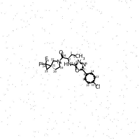 CC[C@@H](Nc1nnc(-c2ccc(Cl)cc2)o1)C(=O)N1CC[C@]2(C1)CC2(F)F